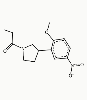 CCC(=O)N1CCC(c2cc([N+](=O)[O-])ccc2OC)C1